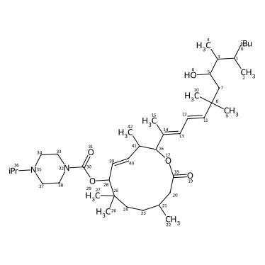 CCC(C)C(C)C(C)C(O)CC(C)(C)/C=C/C=C(\C)C1OC(=O)CC(C)CCC(C)(C)C(OC(=O)N2CCN(C(C)C)CC2)/C=C/C1C